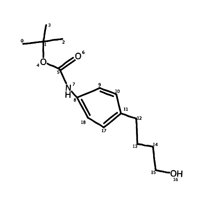 CC(C)(C)OC(=O)Nc1ccc(CCCCO)cc1